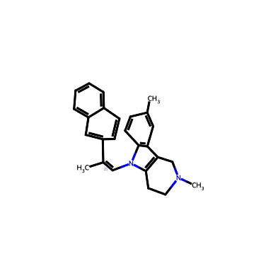 C/C(=C/n1c2c(c3cc(C)ccc31)CN(C)CC2)c1ccc2ccccc2c1